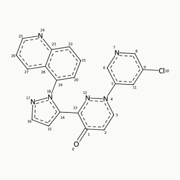 O=c1ccn(-c2cncc(Cl)c2)nc1-c1ccnn1-c1cccc2ncccc12